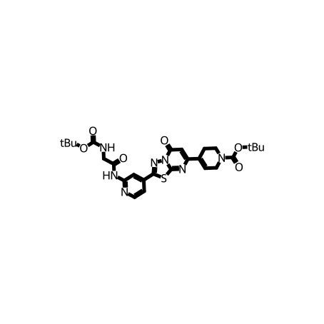 CC(C)(C)OC(=O)NCC(=O)Nc1cc(-c2nn3c(=O)cc(C4=CCN(C(=O)OC(C)(C)C)CC4)nc3s2)ccn1